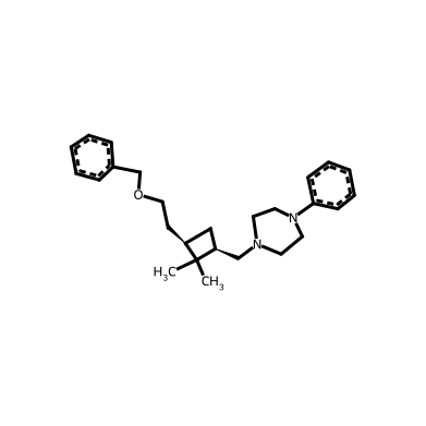 CC1(C)[C@@H](CCOCc2ccccc2)C[C@H]1CN1CCN(c2ccccc2)CC1